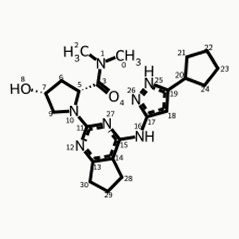 CN(C)C(=O)[C@H]1C[C@@H](O)CN1c1nc2c(c(Nc3cc(C4CCCC4)[nH]n3)n1)CCC2